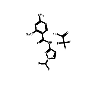 COc1cc(N)ncc1C(=O)Nc1ccn(C(F)F)n1.O=C(O)C(F)(F)F